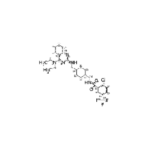 CCN(CC)c1nc(NCC2CCC(CNS(=O)(=O)c3cc(C(F)(F)F)ccc3Cl)CC2)nc2ccccc12